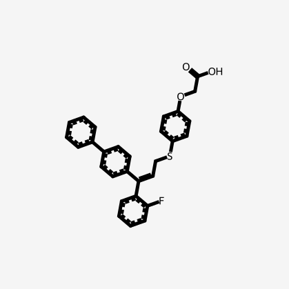 O=C(O)COc1ccc(SC/C=C(\c2ccc(-c3ccccc3)cc2)c2ccccc2F)cc1